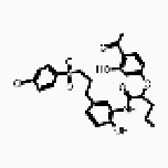 CCCC(Oc1ccc(C(C)=O)c(O)c1)C(=O)Nc1cc(CCCS(=O)(=O)c2ccc(Cl)cc2)ccc1O